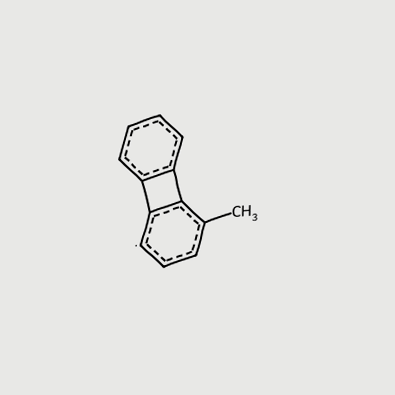 Cc1cc[c]c2c1-c1ccccc1-2